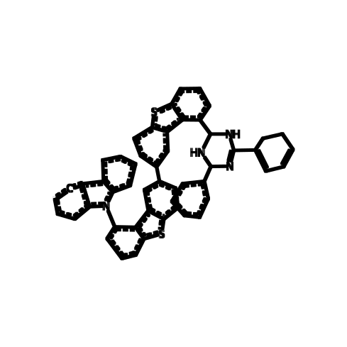 C1=CCCC(C2=NC(c3ccccc3)NC(c3cccc4sc5ccc(-c6ccc7sc8cccc(-n9c%10ccccc%10c%10ccccc%109)c8c7c6)cc5c34)N2)=C1